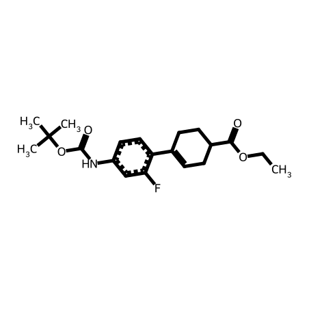 CCOC(=O)C1CC=C(c2ccc(NC(=O)OC(C)(C)C)cc2F)CC1